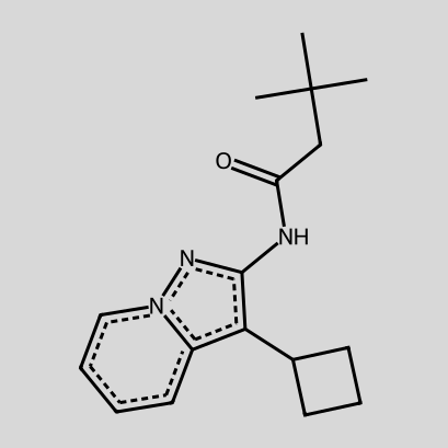 CC(C)(C)CC(=O)Nc1nn2ccccc2c1C1CCC1